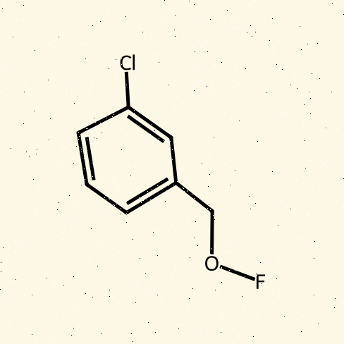 FOCc1cccc(Cl)c1